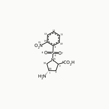 N[C@H]1CC(C(=O)O)N(S(=O)(=O)c2ccccc2[N+](=O)[O-])C1